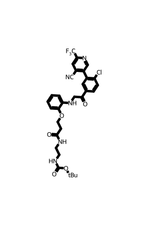 CC(C)(C)OC(=O)NCCNC(=O)CCOc1ccccc1NCC(=O)c1ccc(Cl)c(-c2cnc(C(F)(F)F)cc2C#N)c1